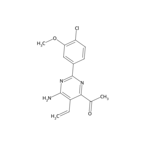 C=Cc1c(N)nc(-c2ccc(Cl)c(OC)c2)nc1C(C)=O